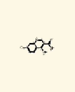 O=C(O)c1[c]nc2cc(Cl)ccc2c1O